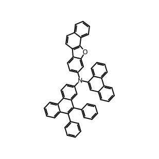 c1ccc(-c2c(-c3ccccc3)c3cc(N(c4ccc5c(c4)oc4c6ccccc6ccc54)c4cc5ccccc5c5ccccc45)ccc3c3ccccc23)cc1